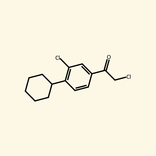 O=C(CCl)c1ccc(C2CCCCC2)c(Cl)c1